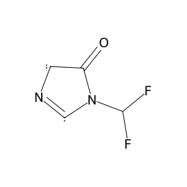 O=C1[C]N=[C]N1C(F)F